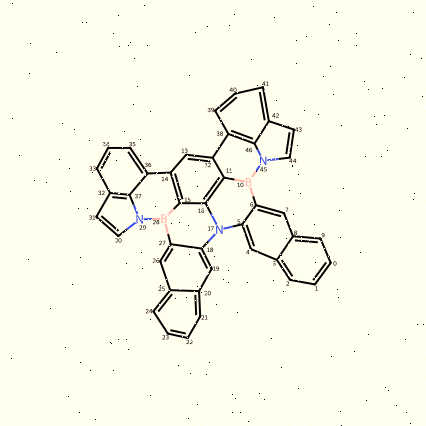 c1ccc2cc3c(cc2c1)B1c2c(cc4c5c2N3c2cc3ccccc3cc2B5n2ccc3cccc-4c32)-c2cccc3ccn1c23